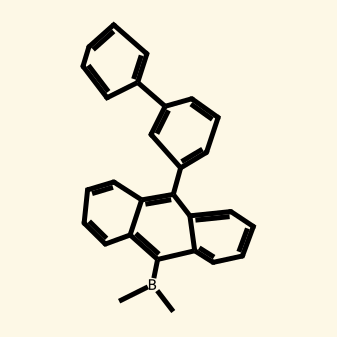 CB(C)c1c2ccccc2c(-c2cccc(-c3ccccc3)c2)c2ccccc12